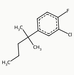 CCCC(C)(C)c1ccc(F)c(Cl)c1